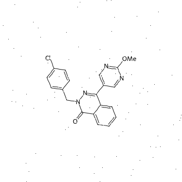 COc1ncc(-c2nn(Cc3ccc(Cl)cc3)c(=O)c3ccccc23)cn1